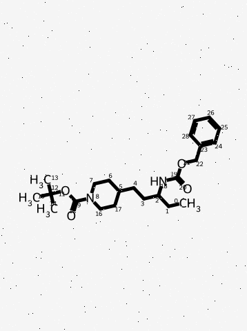 CCC(CCC1CCN(C(=O)OC(C)(C)C)CC1)NC(=O)OCc1ccccc1